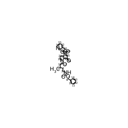 CC(CCNC(=O)OCc1ccccc1)CC(=O)N1CCC2C1C(=O)CN2S(=O)(=O)Cc1cccnc1